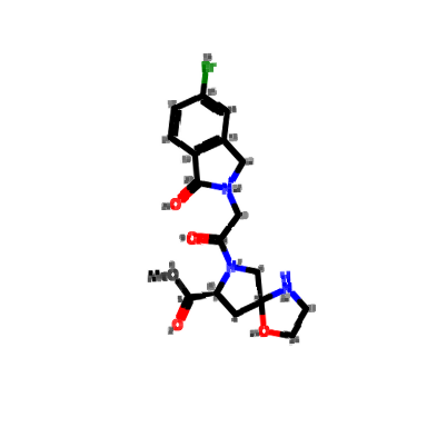 COC(=O)[C@@H]1CC2(CN1C(=O)CN1Cc3cc(Br)ccc3C1=O)NCCO2